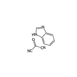 N#CC(=O)C#N.c1ccc2[nH]cnc2c1